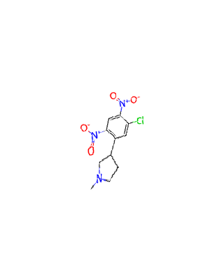 CN1CCC(c2cc(Cl)c([N+](=O)[O-])cc2[N+](=O)[O-])C1